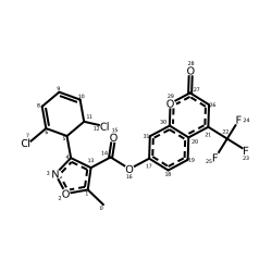 Cc1onc(C2C(Cl)=CC=CC2Cl)c1C(=O)Oc1ccc2c(C(F)(F)F)cc(=O)oc2c1